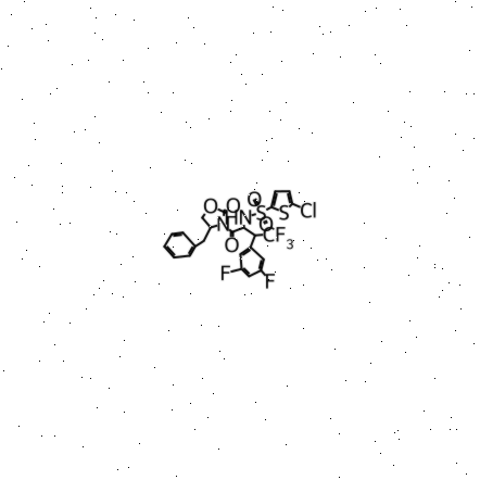 O=C1OCC(Cc2ccccc2)N1C(=O)C(NS(=O)(=O)c1ccc(Cl)s1)C(c1cc(F)cc(F)c1)C(F)(F)F